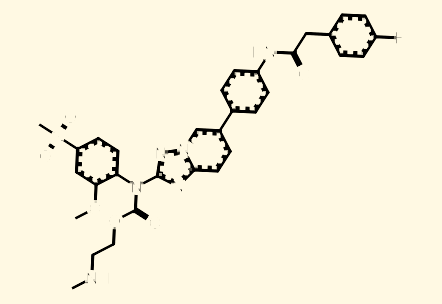 CNCCOC(=O)N(c1nc2ccc(-c3ccc(NC(=O)Cc4ccc(F)cc4)cc3)cn2n1)c1ccc(S(C)(=O)=O)cc1OC